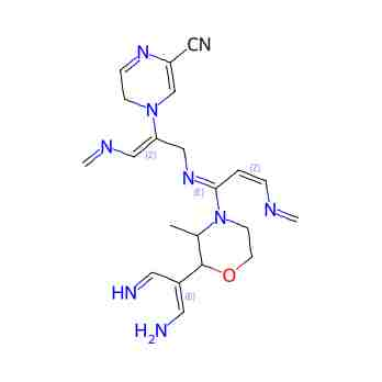 C=N/C=C\C(=N/C/C(=C/N=C)N1C=C(C#N)N=CC1)N1CCOC(/C(C=N)=C/N)C1C